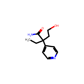 CCC(CCO)(C(N)=O)c1ccncc1